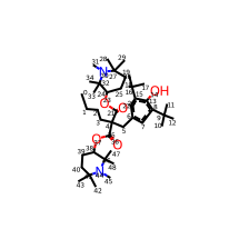 CCCCC(Cc1cc(C(C)(C)C)c(O)c(C(C)(C)C)c1)(C(=O)OC1CCC(C)(C)N(C)C1(C)C)C(=O)OC1CCC(C)(C)N(C)C1(C)C